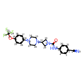 N#Cc1ccc(NC(=O)N2CC(N3CCN(c4ccc(OC(F)(F)F)cc4)CC3)C2)cc1